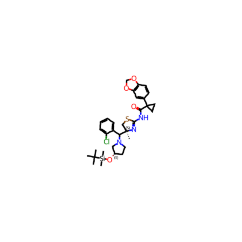 CC(C)(C)[Si](C)(C)O[C@H]1CCN(C(c2ccccc2Cl)[C@@]2(C)CSC(NC(=O)C3(c4ccc5c(c4)OCO5)CC3)=N2)C1